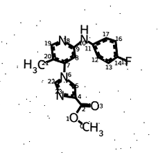 COC(=O)c1cn(-c2cc(Nc3ccc(F)cc3)ncc2C)cn1